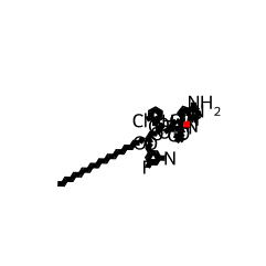 CCCCCCCCCCCCCCCCCCCOC[C@H](COP(=O)(Oc1ccccc1Cl)OC1[C@H]2O[C@@](C#N)(c3ccc4c(N)ncnn34)[C@@H]3OC(C)(C)O[C@]123)OCc1cc(F)cc(C#N)c1